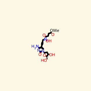 COC(=O)CCC(=O)N(O)CC#Cc1cn([C@H]2C[C@H](O)[C@@H](CO)O2)c(=O)nc1N